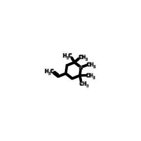 C=CC1CC(C)(C)N(C)C(C)(C)C1